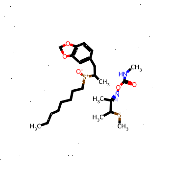 CCCCCCCC[S+]([O-])C(C)Cc1ccc2c(c1)OCO2.CNC(=O)O/N=C(\C)C(C)SC